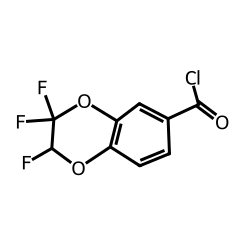 O=C(Cl)c1ccc2c(c1)OC(F)(F)C(F)O2